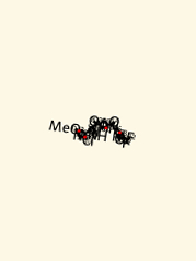 COc1cc(-c2cc(C(=O)N3CCC(C(=O)NCc4cc(C(F)F)on4)CC3)n[nH]2)c(Cl)cn1